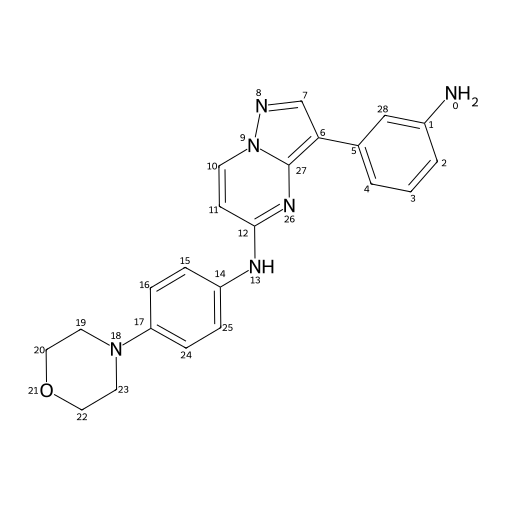 Nc1cccc(-c2cnn3ccc(Nc4ccc(N5CCOCC5)cc4)nc23)c1